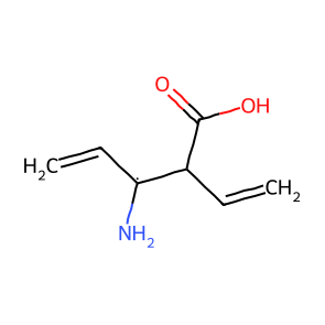 C=C[C](N)C(C=C)C(=O)O